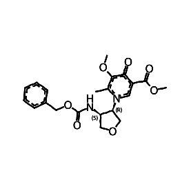 COC(=O)c1cn([C@H]2COC[C@H]2NC(=O)OCc2ccccc2)c(C)c(OC)c1=O